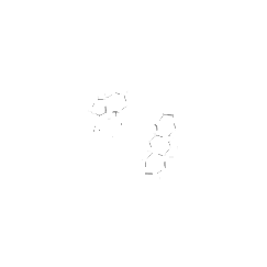 Nc1noc2cccc(OCCc3c4ccccc4cc4ccccc34)c12